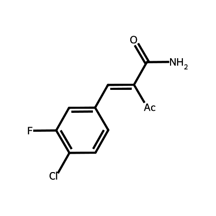 CC(=O)/C(=C\c1ccc(Cl)c(F)c1)C(N)=O